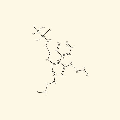 COCOc1cc(CCCO[Si](C)(C)C(C)(C)C)c(-c2ccccc2)c(OCOC)c1